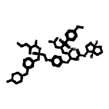 CCOC(=O)C(C)OP(=O)(COc1ccc(C[C@H](NC(=O)O[C@H]2CO[C@H]3OCC[C@H]32)[C@H](O)CN(CC(C)C)S(=O)(=O)c2ccc(OC)cc2)cc1)Oc1cccc(CN2CCN(C)CC2)c1